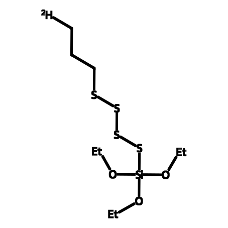 [2H]CCCSSSS[Si](OCC)(OCC)OCC